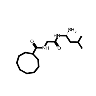 B[C@H](CC(C)C)NC(=O)CNC(=O)C1CCCCCCCC1